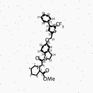 COC(=O)C1CCCCN1CC(=O)N1CCc2cc(OCc3cc(-c4ccccc4)c(C(F)(F)F)s3)ccc21